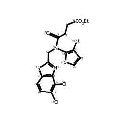 CCOC(=O)CCC(=O)N(Cc1nc2c(Cl)c(Cl)ccc2s1)c1sccc1CC